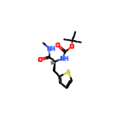 CNC(=O)[C@H](Cc1cccs1)NC(=O)OC(C)(C)C